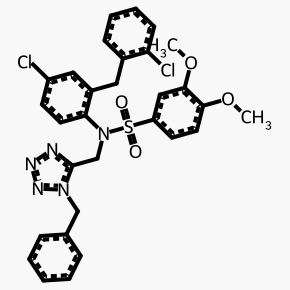 COc1ccc(S(=O)(=O)N(Cc2nnnn2Cc2ccccc2)c2ccc(Cl)cc2Cc2ccccc2Cl)cc1OC